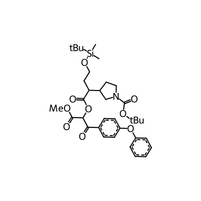 COC(=O)C(OC(=O)C(CCO[Si](C)(C)C(C)(C)C)C1CCN(C(=O)OC(C)(C)C)C1)C(=O)c1ccc(Oc2ccccc2)cc1